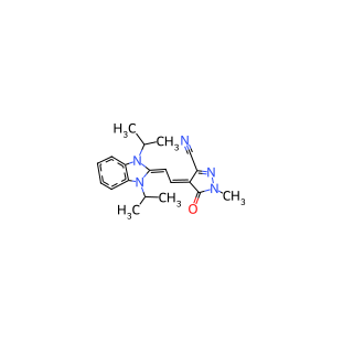 CC(C)N1C(=C/C=C2/C(=O)N(C)N=C2C#N)N(C(C)C)c2ccccc21